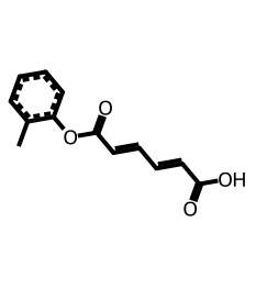 Cc1ccccc1OC(=O)C=CC=CC(=O)O